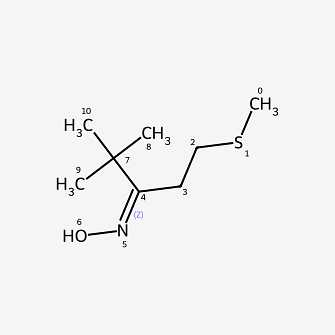 CSCC/C(=N/O)C(C)(C)C